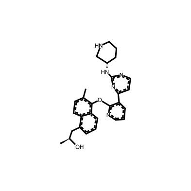 Cc1ccc2c(C[C@H](C)O)cccc2c1Oc1ncccc1-c1ccnc(N[C@H]2CCCNC2)n1